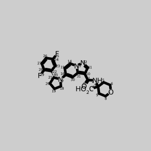 O=C(NC1(C(=O)O)CCOCC1)c1cnn2ccc(N3CCC[C@@H]3c3cc(F)ccc3F)cc12